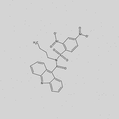 CCCCN(C(=O)c1c2ccccc2nc2ccccc12)S(=O)(=O)c1ccc([N+](=O)[O-])cc1[N+](=O)[O-]